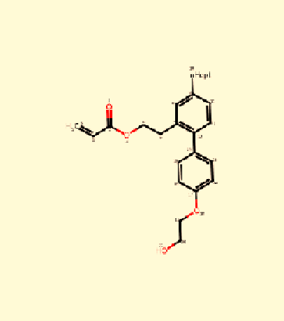 C=CC(=O)OCCc1cc(CCCCCCC)ccc1-c1ccc(OCCO)cc1